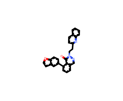 O=c1c2c(-c3ccc4occc4c3)cccc2cnn1CCc1ccc2ccccc2n1